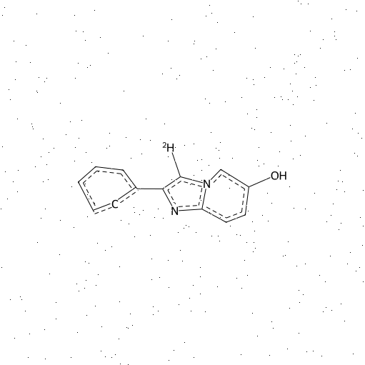 [2H]c1c(-c2ccccc2)nc2ccc(O)cn12